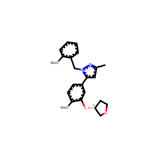 COc1ccccc1Cn1nc(C)cc1-c1ccc(OC)c(O[C@@H]2CCOC2)c1